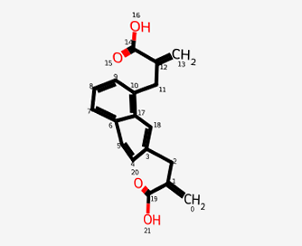 C=C(Cc1ccc2cccc(CC(=C)C(=O)O)c2c1)C(=O)O